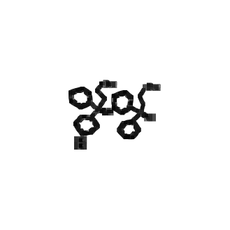 CCCCCCCCCCCCP(=N)(c1ccccc1)c1ccccc1.CCCCCCCCCCCCP(=N)(c1ccccc1)c1ccccc1.Cl.Cl